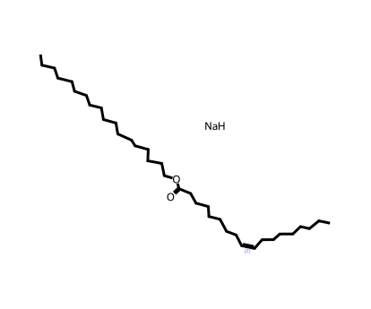 CCCCCCCC/C=C\CCCCCCCC(=O)OCCCCCCCCCCCCCCCCCC.[NaH]